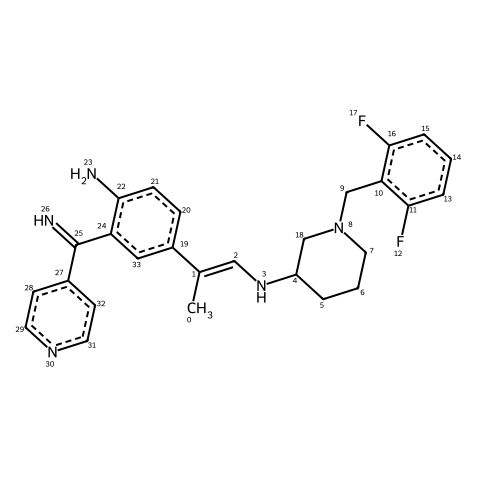 C/C(=C\NC1CCCN(Cc2c(F)cccc2F)C1)c1ccc(N)c(C(=N)c2ccncc2)c1